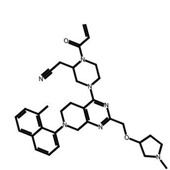 C=CC(=O)N1CCN(c2nc(COC3CCN(C)C3)nc3c2CCN(c2cccc4cccc(C)c24)C3)CC1CC#N